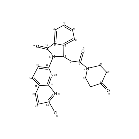 O=C1CCN(C(=O)CC2c3ccccc3C(=O)N2c2ccc3ccc(Cl)nc3n2)CC1